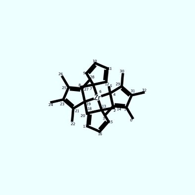 CC1=C(C)[C](C)([Zr]([C]2(C)C=CC=C2)([C]2(C)C=CC=C2)[C]2(C)C(C)=C(C)C(C)=C2C)C(C)=C1C